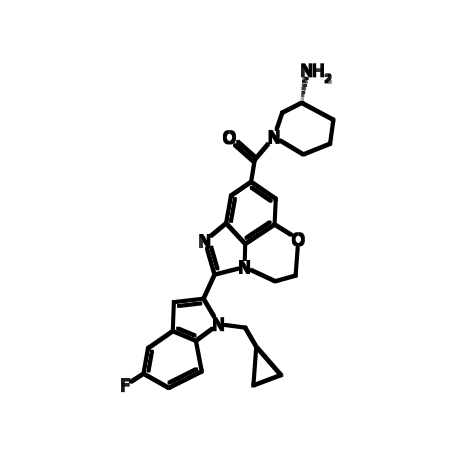 N[C@@H]1CCCN(C(=O)c2cc3c4c(c2)nc(-c2cc5cc(F)ccc5n2CC2CC2)n4CCO3)C1